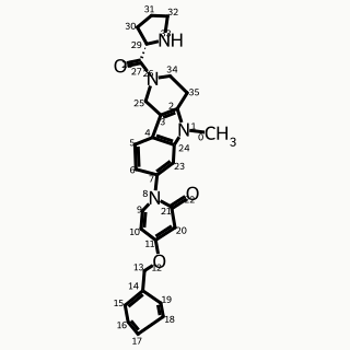 Cn1c2c(c3ccc(-n4ccc(OCc5ccccc5)cc4=O)cc31)CN(C(=O)[C@@H]1CCCN1)CC2